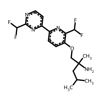 CC(C)CC(C)(N)COc1ccc(-c2ccnc(C(F)F)n2)nc1C(F)F